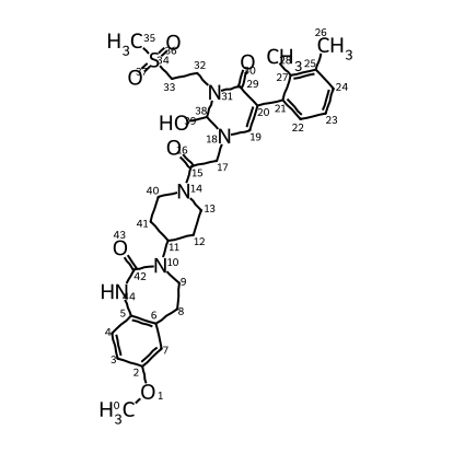 COc1ccc2c(c1)CCN(C1CCN(C(=O)CN3C=C(c4cccc(C)c4C)C(=O)N(CCS(C)(=O)=O)C3O)CC1)C(=O)N2